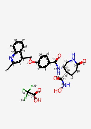 Cc1cc(COc2ccc(C(=O)N[C@@H]3CNC(=O)CC[C@@H]3C(=O)NO)cc2)c2ccccc2n1.O=C(O)C(F)(F)F